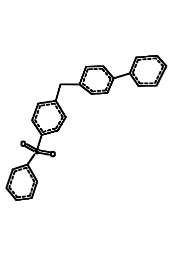 O=S(=O)(c1ccccc1)c1ccc(Cc2ccc(-c3ccccc3)cc2)cc1